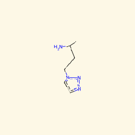 CC(N)CCn1ccnn1